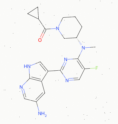 CN(c1nc(-c2c[nH]c3ncc(N)cc23)ncc1F)[C@H]1CCCN(C(=O)C2CC2)C1